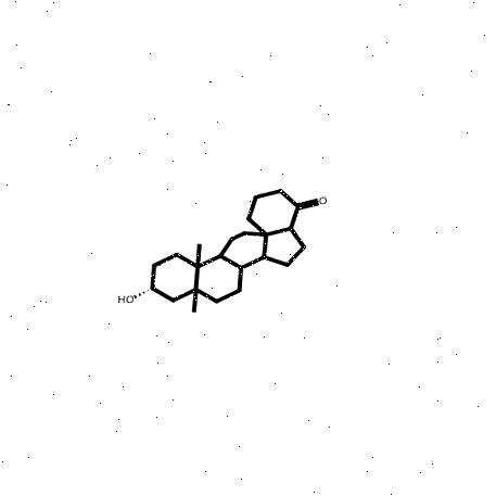 CC12CCC3C4CCC5C(=O)CCCC54CCC3C1(C)CC[C@@H](O)C2